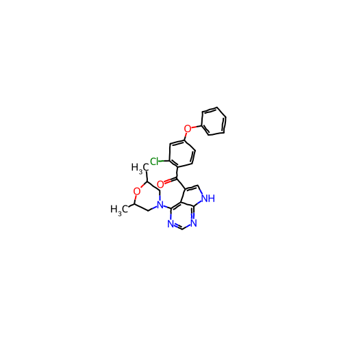 CC1CN(c2ncnc3[nH]cc(C(=O)c4ccc(Oc5ccccc5)cc4Cl)c23)CC(C)O1